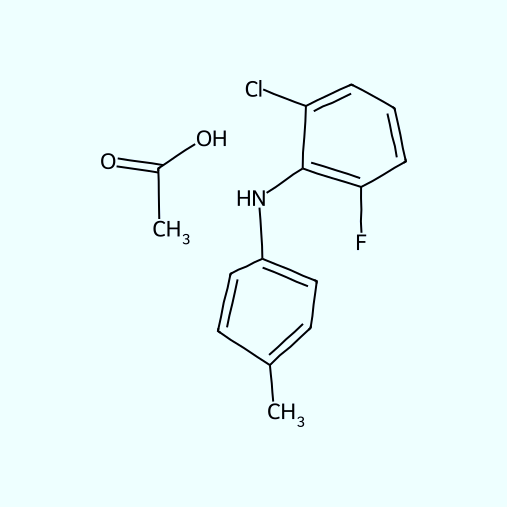 CC(=O)O.Cc1ccc(Nc2c(F)cccc2Cl)cc1